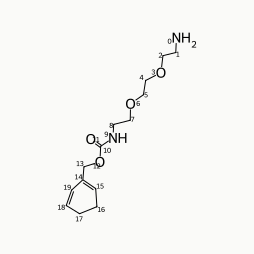 NCCOCCOCCNC(=O)OCC1=CCCC=C1